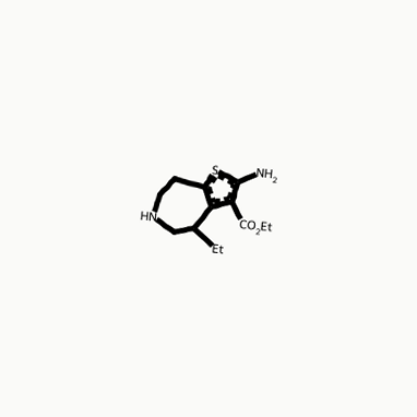 CCOC(=O)c1c(N)sc2c1C(CC)CNCC2